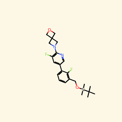 CC(C)(C)[Si](C)(C)OCc1cccc(-c2cnc(N3CC4(COC4)C3)c(F)c2)c1F